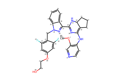 COc1cnccc1NC1=C2CCCC2NC(c2nn(Cc3c(F)cc(OCCO)cc3F)c3ccccc23)=N1